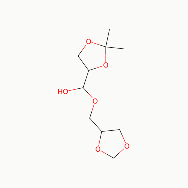 CC1(C)OCC(C(O)OCC2COCO2)O1